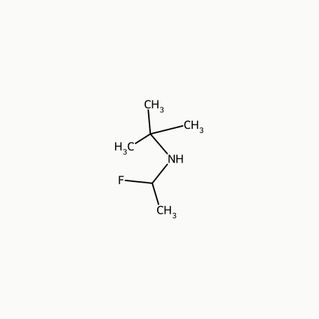 CC(F)NC(C)(C)C